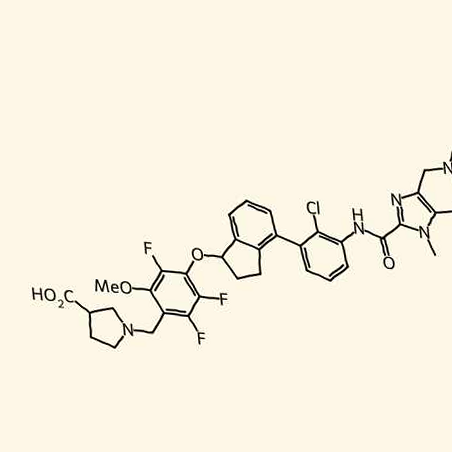 COc1c(F)c(OC2CCc3c(-c4cccc(NC(=O)c5nc6c(n5C)CCN(C)C6)c4Cl)cccc32)c(F)c(F)c1CN1CCC(C(=O)O)C1